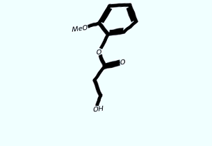 COc1ccccc1OC(=O)CCO